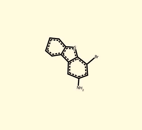 Nc1cc(Br)c2sc3ccccc3c2c1